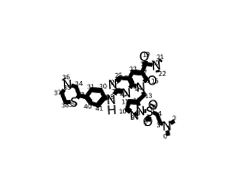 CN(C)CCS(=O)(=O)n1nccc1Cn1c(=O)c(C(=O)N(C)C)cc2cnc(Nc3ccc(C4CN(C)CCS4)cc3)nc21